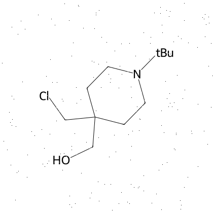 CC(C)(C)N1CCC(CO)(CCl)CC1